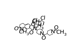 COc1cc2c(cc1C(=O)N(C)[C@@H]1CCN(C(=O)C3CCN(C(C)=O)CC3)C[C@H]1c1ccc(Cl)c(Cl)c1)N(C)C(=O)CC2